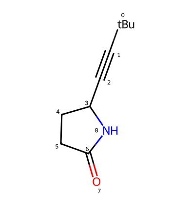 CC(C)(C)C#CC1CCC(=O)N1